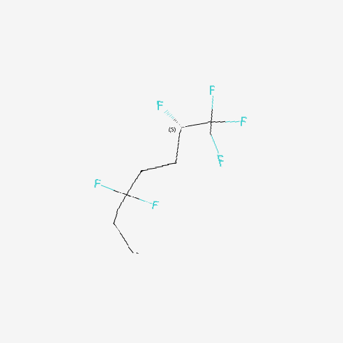 [CH2]CC(F)(F)CC[C@H](F)C(F)(F)F